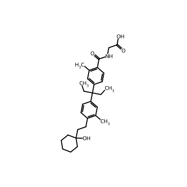 CCC(CC)(c1ccc(CCC2(O)CCCCC2)c(C)c1)c1ccc(C(=O)NCC(=O)O)c(C)c1